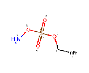 CCCCOS(=O)(=O)ON